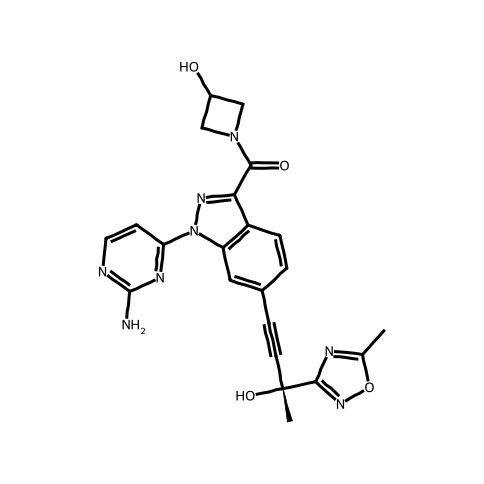 Cc1nc([C@](C)(O)C#Cc2ccc3c(C(=O)N4CC(O)C4)nn(-c4ccnc(N)n4)c3c2)no1